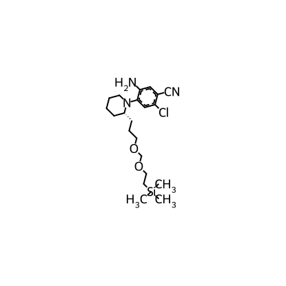 C[Si](C)(C)CCOCOCCC[C@@H]1CCCCN1c1cc(Cl)c(C#N)cc1N